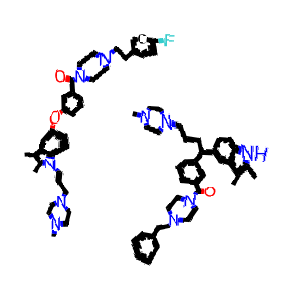 Cc1[nH]c2ccc(C(CCCN3CCN(C)CC3)c3cccc(C(=O)N4CCN(CCc5ccccc5)CC4)c3)cc2c1C.Cc1c(C)n(CCCN2CCN(C)CC2)c2ccc(Oc3cccc(C(=O)N4CCN(CCc5ccc(F)cc5)CC4)c3)cc12